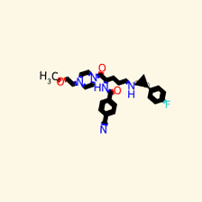 COCCN1CCN(C(=O)C(CCCN[C@@H]2C[C@H]2c2ccc(F)cc2)NC(=O)c2ccc(C#N)cc2)CC1